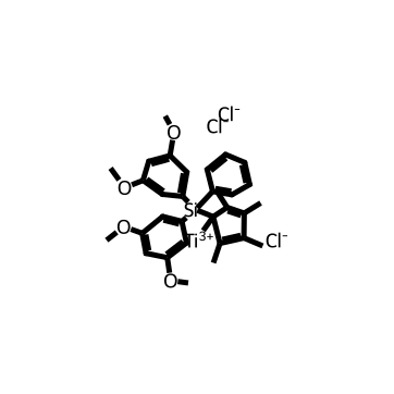 COc1cc(OC)cc([Si](c2ccccc2)(c2cc(OC)cc(OC)c2)[C]2([Ti+3])C(C)=C(C)C(C)=C2C)c1.[Cl-].[Cl-].[Cl-]